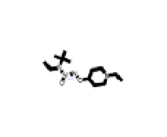 CCN1CCC(O/N=[N+](\[O-])N(CC)C(C)(C)C)CC1